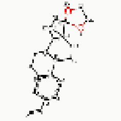 C=Cc1ccc2c(c1)CCC1C2CCC2(C)C1CCC21OCCO1